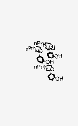 CCCN1CCO[C@@H](c2cccc(O)c2)C1.CCCN1CCO[C@H](c2cccc(O)c2)C1.CCCN1CCO[C@H](c2cccc(O)c2)C1.Cl